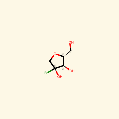 OC[C@H]1O[CH][C@@](O)(Br)[C@@H]1O